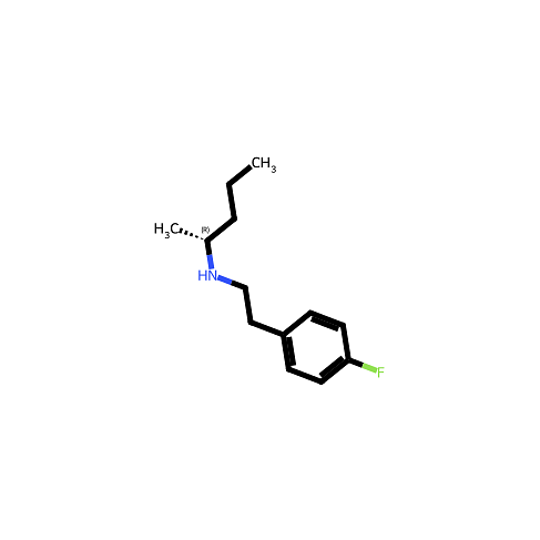 CCC[C@@H](C)NCCc1ccc(F)cc1